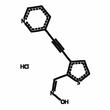 Cl.O/N=C\c1sccc1C#Cc1cccnc1